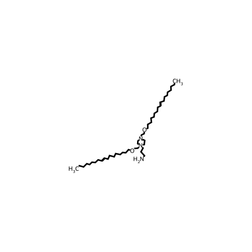 CCCCCCCCC=CCCCCCCCCOCCN1CC[N+](CCCN)(CCOCCCCCCCCC=CCCCCCCCC)CC1